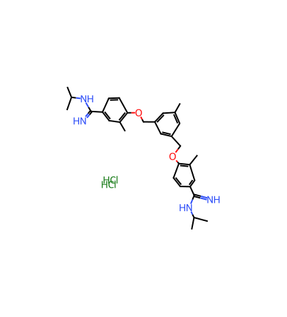 Cc1cc(COc2ccc(C(=N)NC(C)C)cc2C)cc(COc2ccc(C(=N)NC(C)C)cc2C)c1.Cl.Cl